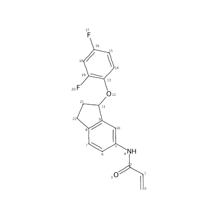 C=CC(=O)Nc1ccc2c(c1)C(Oc1ccc(F)cc1F)CC2